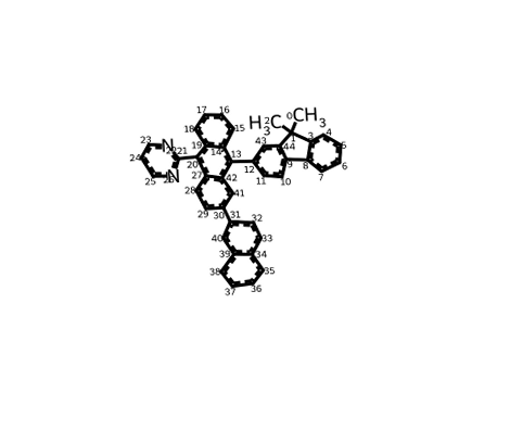 CC1(C)c2ccccc2-c2ccc(-c3c4ccccc4c(-c4ncccn4)c4ccc(-c5ccc6ccccc6c5)cc34)cc21